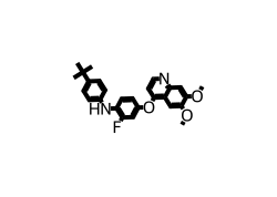 COc1cc2nccc(Oc3ccc(Nc4ccc(C(C)(C)C)cc4)c(F)c3)c2cc1OC